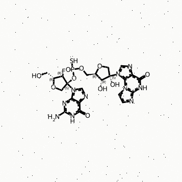 Nc1nc2c(ncn2[C@]2(OP(=O)(S)OC[C@H]3OC[C@@](O)(n4cnc5c(=O)[nH]c6nccn6c54)[C@@H]3O)CO[C@H](CO)[C@H]2F)c(=O)[nH]1